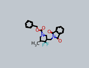 CC1CN(C(=O)OCc2ccccc2)CC(CN2C(=O)c3ccccc3C2=O)C1(F)F